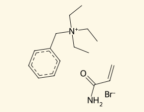 C=CC(N)=O.CC[N+](CC)(CC)Cc1ccccc1.[Br-]